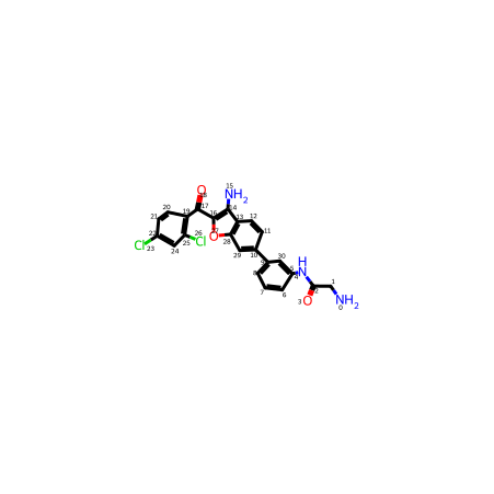 NCC(=O)Nc1cccc(-c2ccc3c(N)c(C(=O)c4ccc(Cl)cc4Cl)oc3c2)c1